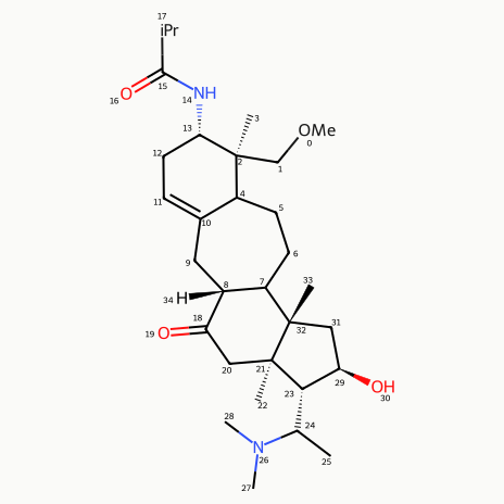 COC[C@@]1(C)C2CCC3[C@@H](CC2=CC[C@@H]1NC(=O)C(C)C)C(=O)C[C@]1(C)[C@@H](C(C)N(C)C)[C@H](O)C[C@@]31C